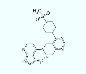 C[C@H]1Cc2ncnc(C3CCN(S(C)(=O)=O)CC3)c2CN1c1ccnc2[nH]ccc12